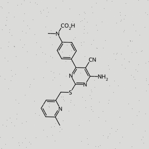 Cc1cccc(CSc2nc(N)c(C#N)c(-c3ccc(N(C)C(=O)O)cc3)n2)n1